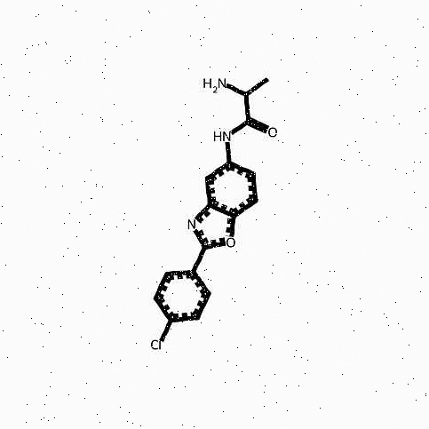 CC(N)C(=O)Nc1ccc2oc(-c3ccc(Cl)cc3)nc2c1